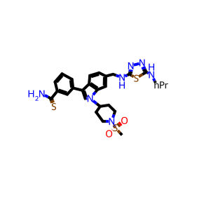 CCCNc1nnc(NCc2ccc3c(-c4cccc(C(N)=S)c4)cn(C4CCN(S(C)(=O)=O)CC4)c3c2)s1